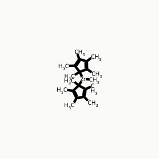 CC1=C(C)[C](C)([Zr]([CH3])[C]2(C)C(C)=C(C)C(C)=C2C)C(C)=C1C